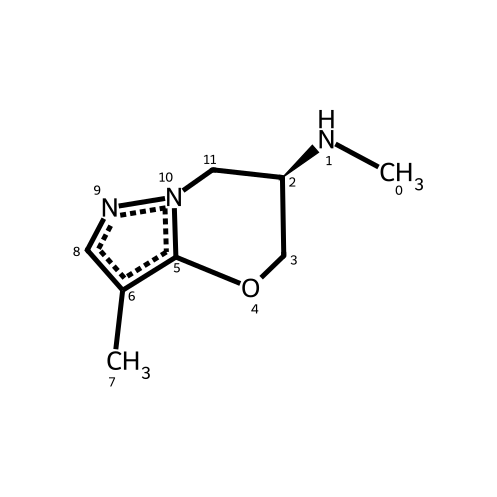 CN[C@H]1COc2c(C)cnn2C1